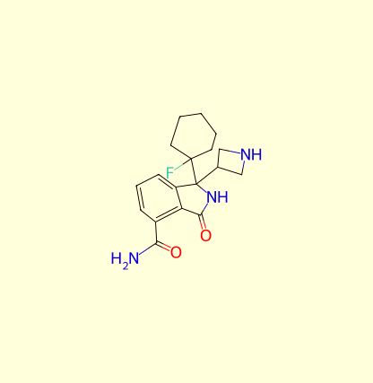 NC(=O)c1cccc2c1C(=O)NC2(C1CNC1)C1(F)CCCCC1